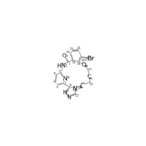 O=C1Nc2cccc(n2)-c2nncn2CCCCOc2c(Br)cccc21